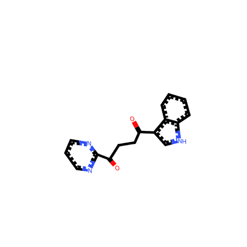 O=C(CCC(=O)c1c[nH]c2ccccc12)c1ncccn1